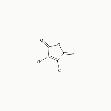 C=C1OC(=O)C(Cl)=C1Cl